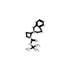 CC(C)(C)OC(=O)N1CCC1N1CCc2ccccc2C1